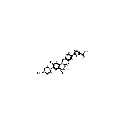 CN1CCN(c2cc(N(C)C)c(N(C=O)Cc3ccc(-c4nnc(C(F)F)o4)cn3)cc2F)CC1